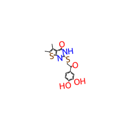 Cc1sc2nc(SCC(=O)c3ccc(O)c(O)c3)[nH]c(=O)c2c1C